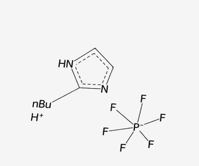 CCCCc1ncc[nH]1.F[P-](F)(F)(F)(F)F.[H+]